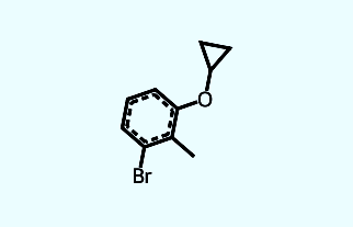 Cc1c(Br)cccc1OC1CC1